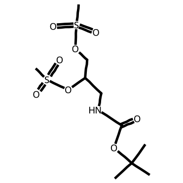 CC(C)(C)OC(=O)NCC(COS(C)(=O)=O)OS(C)(=O)=O